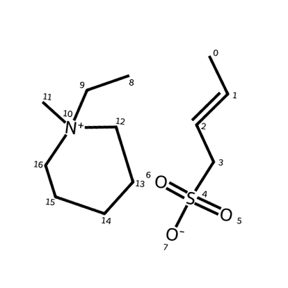 C/C=C/CS(=O)(=O)[O-].CC[N+]1(C)CCCCC1